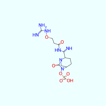 N=C(N)NOCCC(=O)NC(=N)C1CCC2CN1C(=O)N2OS(=O)(=O)O